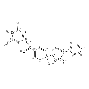 C=C(/C(F)=C(F)\C(=C/C)c1ccccc1)C1(C)C=CC(C(=O)Oc2cc(C)c(C)c(F)c2)=CC1